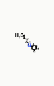 [CH2]CCCCC=Nc1ccccc1